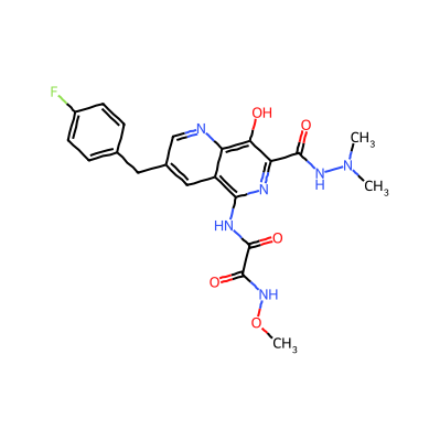 CONC(=O)C(=O)Nc1nc(C(=O)NN(C)C)c(O)c2ncc(Cc3ccc(F)cc3)cc12